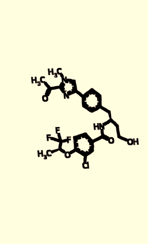 CC(=O)c1nc(-c2ccc(C[C@@H](CCO)NC(=O)c3ccc(O[C@@H](C)C(F)(F)F)c(Cl)c3)cc2)cn1C